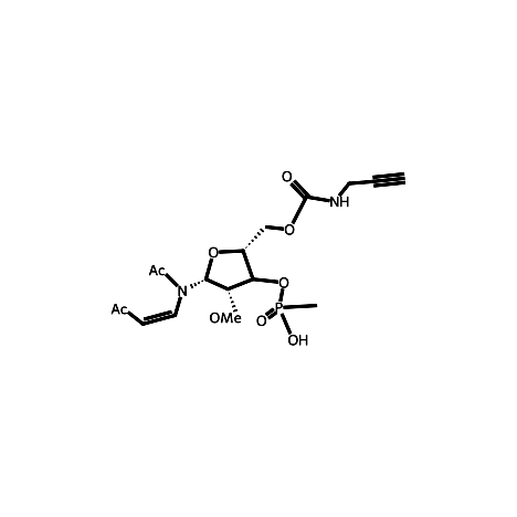 C#CCNC(=O)OC[C@H]1O[C@@H](N(/C=C\C(C)=O)C(C)=O)[C@@H](OC)C1OP(C)(=O)O